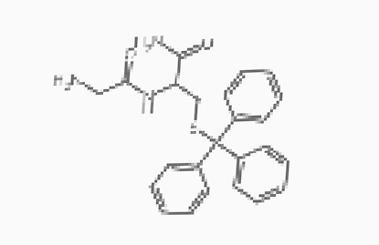 NCC(=O)NC(CSC(c1ccccc1)(c1ccccc1)c1ccccc1)C(N)=O